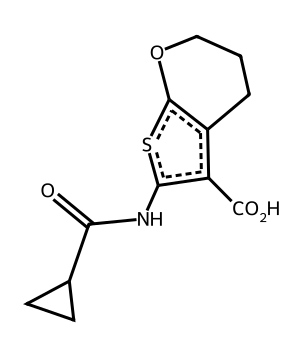 O=C(O)c1c(NC(=O)C2CC2)sc2c1CCCO2